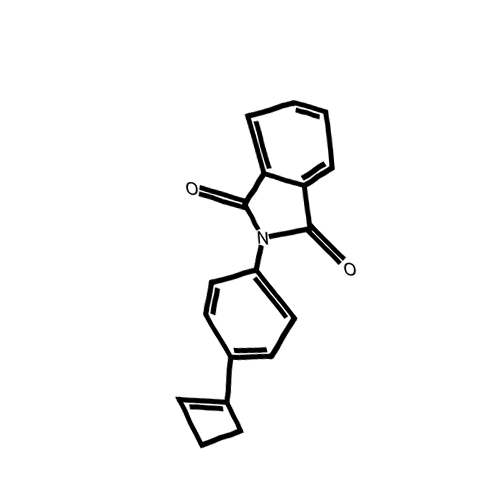 O=C1c2ccccc2C(=O)N1c1ccc(C2=CCC2)cc1